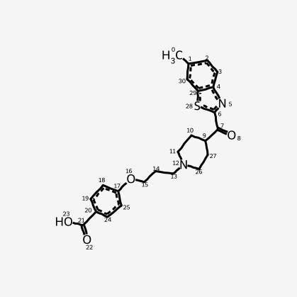 Cc1ccc2nc(C(=O)C3CCN(CCCOc4ccc(C(=O)O)cc4)CC3)sc2c1